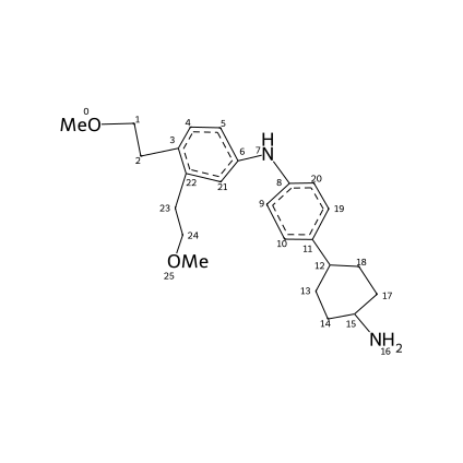 COCCc1ccc(Nc2ccc(C3CCC(N)CC3)cc2)cc1CCOC